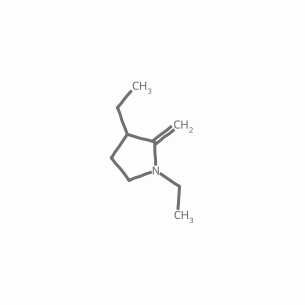 C=C1C(CC)CCN1CC